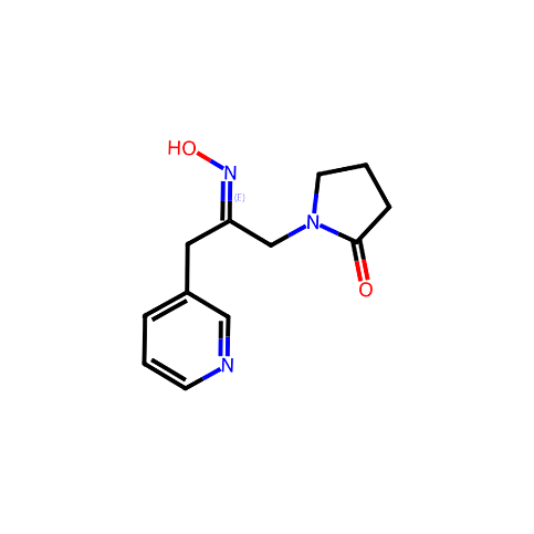 O=C1CCCN1C/C(Cc1cccnc1)=N/O